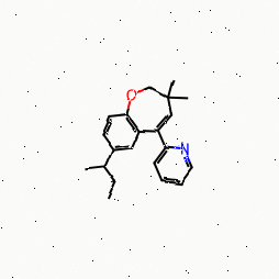 CCC(C)c1ccc2c(c1)C(c1ccccn1)=CC(C)(C)CO2